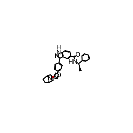 O=C(NC(c1ccccc1)C1CC1)c1ccc2[nH]nc(-c3ccc(OC4CC5CCC(C4)N5C4COC4)cc3)c2c1